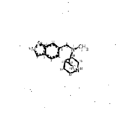 CN(Cc1ccc2cnsc2c1)C1CN2CCC1CC2